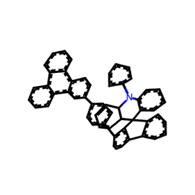 C1=CC2C(C=C1)C1(c3ccccc3-c3cccc(-c4ccc(-c5ccc6c7ccccc7c7ccccc7c6c5)cc4)c31)c1ccccc1N2c1ccccc1